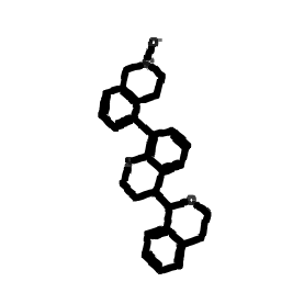 [O-][S+]1CCc2c(cccc2-c2cccc3c2SCCC3C2OCCc3ccccc32)C1